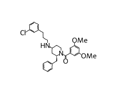 COc1cc(OC)cc(C(=O)N2CC[C@H](NCCCc3cccc(Cl)c3)C[C@@H]2Cc2ccccc2)c1